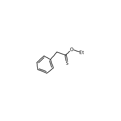 CCOC(=S)Cc1ccccc1